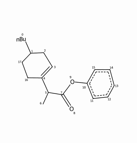 CCCCC1CC=C(C(C)C(=O)Oc2ccccc2)CC1